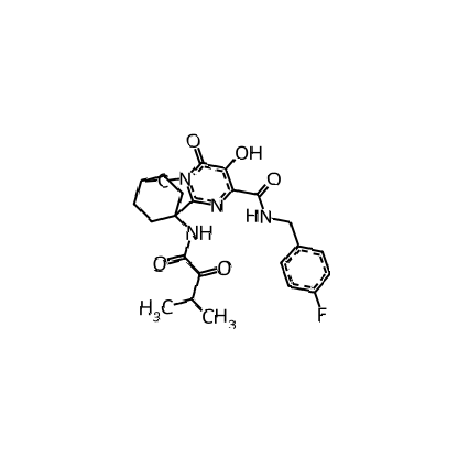 CC(C)C(=O)C(=O)NC12CCC(CC1)Cn1c2nc(C(=O)NCc2ccc(F)cc2)c(O)c1=O